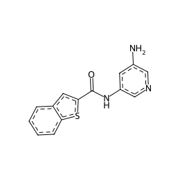 Nc1cncc(NC(=O)c2cc3ccccc3s2)c1